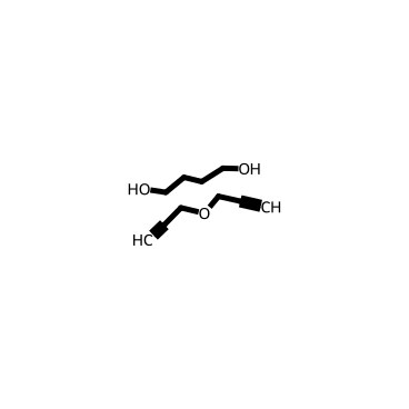 C#CCOCC#C.OCCCCO